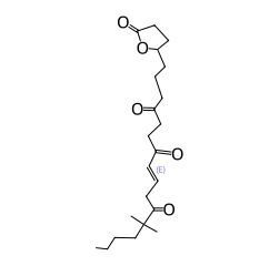 CCCCC(C)(C)C(=O)C/C=C/C(=O)CCC(=O)CCCC1CCC(=O)O1